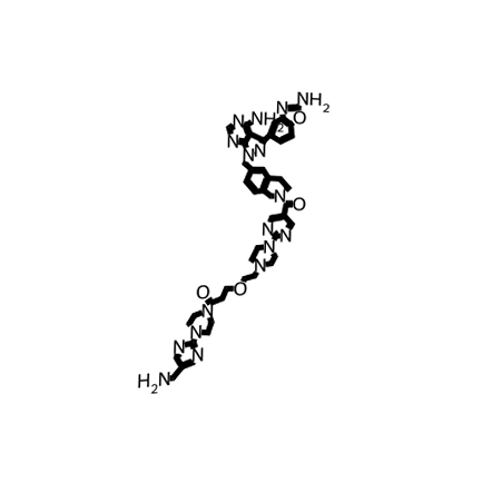 NCc1cnc(N2CCN(C(=O)CCOCCN3CCN(c4ncc(C(=O)N5CCc6cc(Cn7nc(-c8ccc9oc(N)nc9c8)c8c(N)ncnc87)ccc6C5)cn4)CC3)CC2)nc1